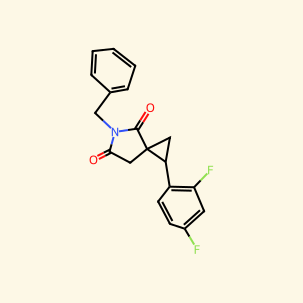 O=C1CC2(CC2c2ccc(F)cc2F)C(=O)N1Cc1ccccc1